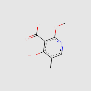 COc1ncc(C)c(O)c1C(=O)O